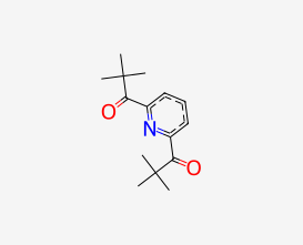 CC(C)(C)C(=O)c1cccc(C(=O)C(C)(C)C)n1